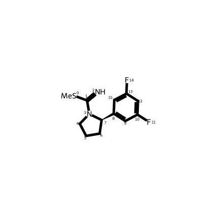 CSC(=N)N1CCC[C@@H]1c1cc(F)cc(F)c1